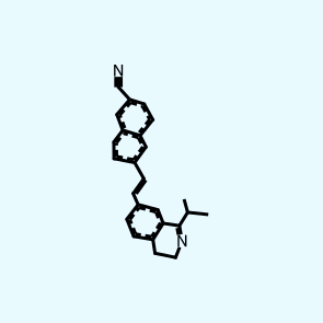 CC(C)C1=NCCc2ccc(C=Cc3ccc4cc(C#N)ccc4c3)cc21